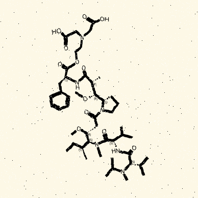 CC[C@H](C)[C@@H]([C@@H](CC(=O)N1CCC[C@H]1[C@H](OC)[C@@H](C)C(=O)N[C@@H](Cc1ccccc1)C(=O)OCCN(CC(=O)O)CC(=O)O)OC)N(C)C(=O)[C@@H](NC(=O)[C@H](C(C)C)N(C)C(C)C)C(C)C